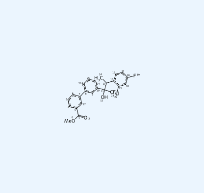 COC(=O)c1cccc(-c2cc(C(O)(C(C)c3ccc(F)cc3Cl)C(F)(F)F)ccn2)c1